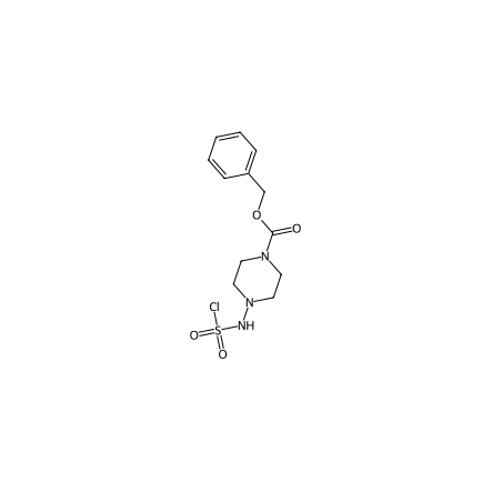 O=C(OCc1ccccc1)N1CCN(NS(=O)(=O)Cl)CC1